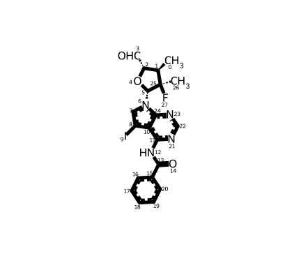 C[C@@H]1[C@@H](C=O)O[C@@H](n2cc(I)c3c(NC(=O)c4ccccc4)ncnc32)[C@]1(C)F